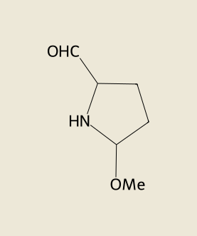 COC1CCC(C=O)N1